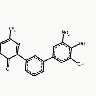 O=C1CC=C(C(F)(F)F)N=C1c1cccc(-c2cc(O)c(O)c([N+](=O)[O-])c2)c1